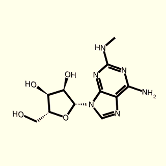 CNc1nc(N)c2ncn([C@@H]3O[C@H](CO)[C@@H](O)[C@H]3O)c2n1